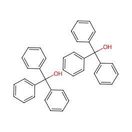 OC(c1ccccc1)(c1ccccc1)c1ccccc1.OC(c1ccccc1)(c1ccccc1)c1ccccc1